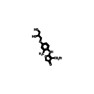 CCOC(=O)C1=C(Nc2ccc(OCC(O)CO)cc2C)OCC1=O